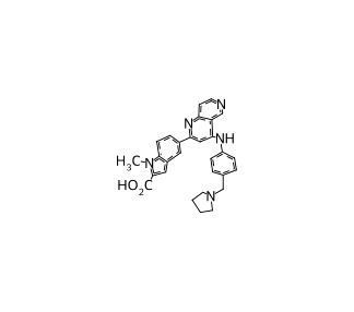 Cn1c(C(=O)O)cc2cc(-c3cc(Nc4ccc(CN5CCCC5)cc4)c4cnccc4n3)ccc21